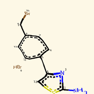 Br.Nc1nc(-c2ccc(CBr)cc2)cs1